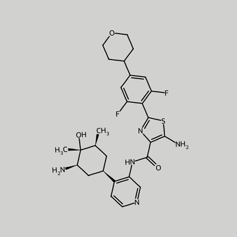 C[C@H]1C[C@@H](c2ccncc2NC(=O)c2nc(-c3c(F)cc(C4CCOCC4)cc3F)sc2N)C[C@@H](N)[C@]1(C)O